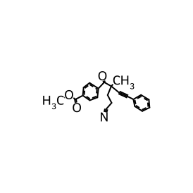 COC(=O)c1ccc(C(=O)C(C)(C#Cc2ccccc2)CCC#N)cc1